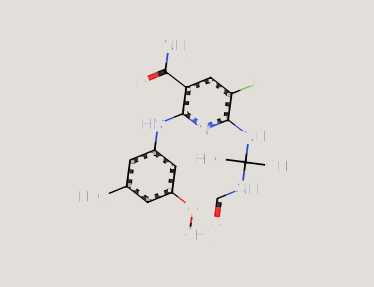 COc1cc(C)cc(Nc2nc(NC(C)(C)NC=O)c(F)cc2C(N)=O)c1